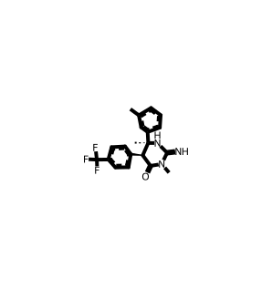 Cc1cccc([C@@]2(C)NC(=N)N(C)C(=O)[C@H]2c2ccc(C(F)(F)F)cc2)c1